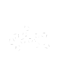 c1ccc(-c2cccc(N(c3cccc(-c4cc(-c5ccccc5)ccc4-c4cccc5c4-c4ccccc4C54c5ccccc5-c5ccccc54)c3)c3ccc4sc5ccccc5c4c3)c2)cc1